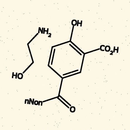 CCCCCCCCCC(=O)c1ccc(O)c(C(=O)O)c1.NCCO